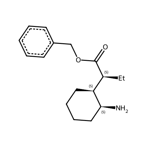 CC[C@H](C(=O)OCc1ccccc1)[C@@H]1CCCC[C@@H]1N